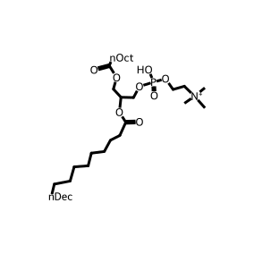 CCCCCCCCCCCCCCCCCCC(=O)OC(COC(=O)CCCCCCCC)COP(=O)(O)OCC[N+](C)(C)C